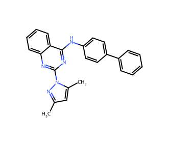 Cc1cc(C)n(-c2nc(Nc3ccc(-c4ccccc4)cc3)c3ccccc3n2)n1